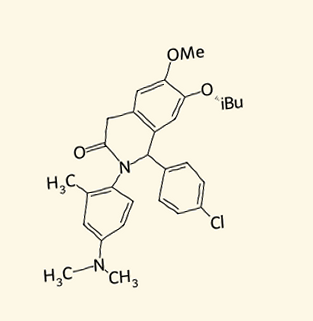 CC[C@@H](C)Oc1cc2c(cc1OC)CC(=O)N(c1ccc(N(C)C)cc1C)C2c1ccc(Cl)cc1